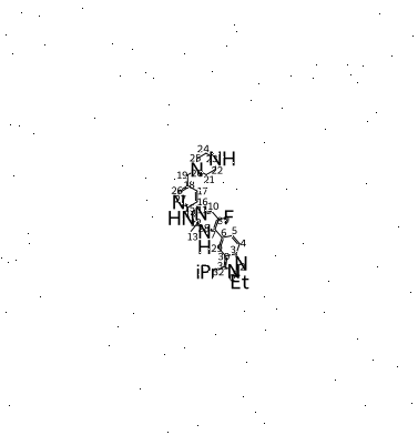 CCn1nc2ccc(C3=C(F)C=NC(C)(Nc4ccc(CN5CCNCC5)cn4)N3)cc2c1C(C)C